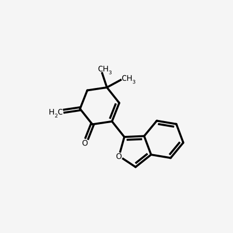 C=C1CC(C)(C)C=C(c2occ3ccccc23)C1=O